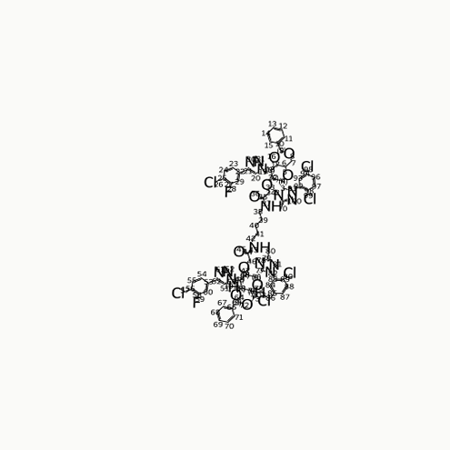 Cc1nc([C@H]2OC3CO[C@H](c4ccccc4)OC3[C@@H](n3cc(-c4ccc(Cl)c(F)c4)nn3)[C@@H]2OCC(=O)NCCCCCNC(=O)CO[C@@H]2[C@@H](n3cc(-c4ccc(Cl)c(F)c4)nn3)[C@H]3O[C@@H](c4ccccc4)OC[C@H]3O[C@H]2c2nc(C)nn2-c2cc(Cl)ccc2Cl)n(-c2cc(Cl)ccc2Cl)n1